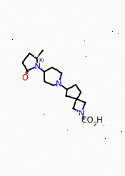 C[C@@H]1CCC(=O)N1C1CCN(C2CCC3(C2)CN(C(=O)O)C3)CC1